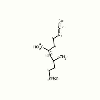 CCCCCCCCCCCC(C)NC(CCN=C=S)C(=O)O